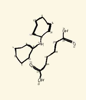 C1CCC(NC2CCCCC2)CC1.O=C(O)CCCCC(=O)O